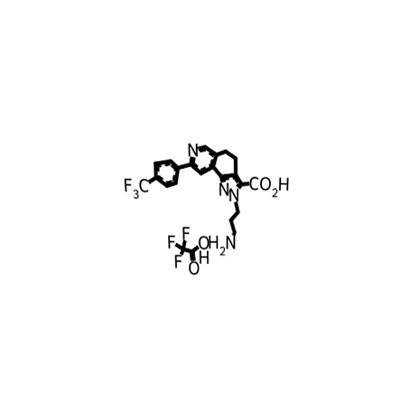 NCCCn1nc2c(c1C(=O)O)CCc1cnc(-c3ccc(C(F)(F)F)cc3)cc1-2.O=C(O)C(F)(F)F